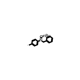 [CH2]c1ccc(N(Cc2ccccc2)OCCCC)cc1